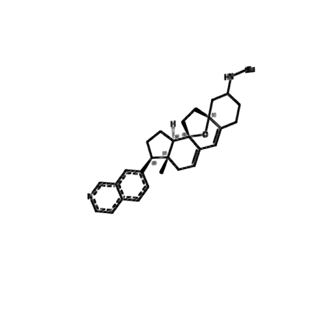 CC(C)(C)NC1CCC2=CC3=CC[C@]4(C)[C@@H](c5ccc6ccncc6c5)CC[C@H]4[C@@]34CC[C@]2(C1)O4